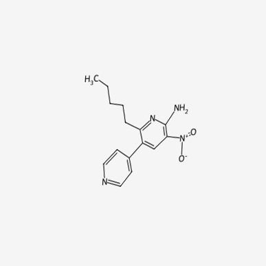 CCCCCc1nc(N)c([N+](=O)[O-])cc1-c1ccncc1